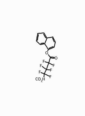 O=C(O)C(F)(F)C(F)(F)C(F)(F)C(=O)Oc1cccc2ccccc12